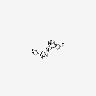 NC1CN(c2cc(-c3ccsc3)ncn2)CC1c1ccc(F)cc1Cl